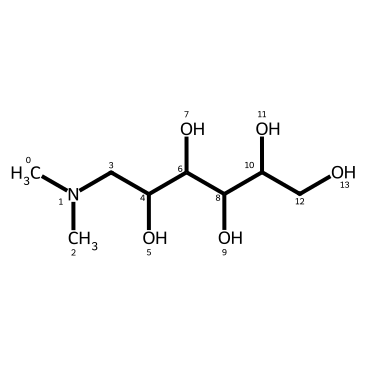 CN(C)CC(O)C(O)C(O)C(O)CO